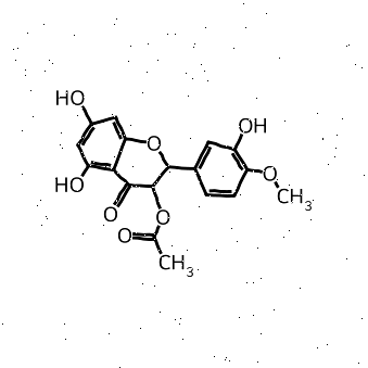 COc1ccc(C2Oc3cc(O)cc(O)c3C(=O)C2OC(C)=O)cc1O